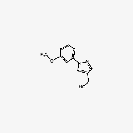 OCc1cnn(-c2cccc(OC(F)(F)F)c2)c1